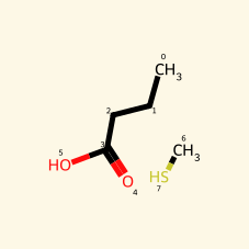 CCCC(=O)O.CS